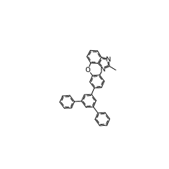 Cc1nc2cccc3c2n1-c1ccc(-c2cc(-c4ccccc4)cc(-c4ccccc4)c2)cc1O3